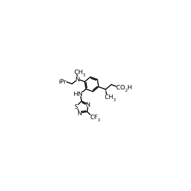 CC(C)CN(C)c1ccc([C@H](C)CC(=O)O)cc1Nc1nc(C(F)(F)F)ns1